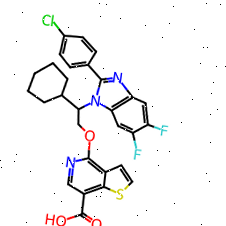 O=C(O)c1cnc(OCC(C2CCCCC2)n2c(-c3ccc(Cl)cc3)nc3cc(F)c(F)cc32)c2ccsc12